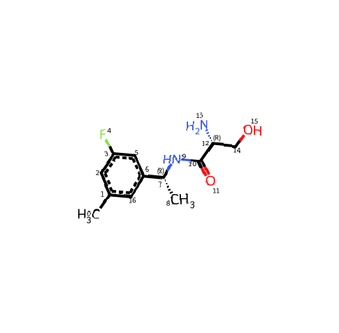 Cc1cc(F)cc([C@@H](C)NC(=O)[C@H](N)CO)c1